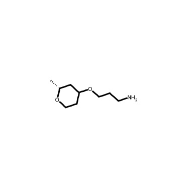 C[C@@H]1CC(OCCCN)CCO1